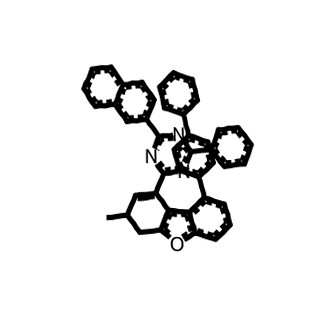 CC1C=C(c2nc(-c3ccccc3)nc(-c3ccc4ccccc4c3)n2)c2c(oc3cccc(-c4ccc(-c5ccccc5)cc4)c23)C1